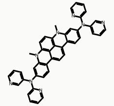 CN1c2cc(N(c3cccnc3)c3ccccn3)ccc2-c2ccc3c4c(ccc1c24)N(C)c1cc(N(c2cccnc2)c2ccccn2)ccc1-3